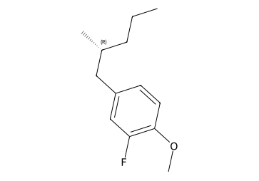 CCC[C@@H](C)Cc1ccc(OC)c(F)c1